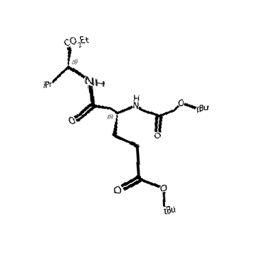 CCOC(=O)[C@@H](NC(=O)[C@H](CCC(=O)OC(C)(C)C)NC(=O)OC(C)(C)C)C(C)C